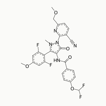 COCc1ccc(C#N)c(-n2c(=O)c(NC(=O)c3ccc(OC(F)F)cc3)c(-c3c(F)cc(OC)cc3F)n2C)n1